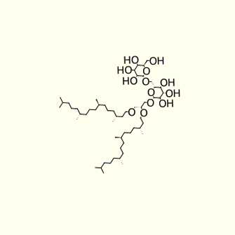 CC(C)CCC[C@@H](C)CCC[C@@H](C)CCC[C@@H](C)CCOC[C@H](CO[C@@H]1O[C@H](CO[C@H]2O[C@H](CO)[C@H](O)[C@H](O)[C@H]2O)[C@@H](O)[C@H](O)[C@H]1O)OCC[C@H](C)CCC[C@H](C)CCC[C@H](C)CCCC(C)C